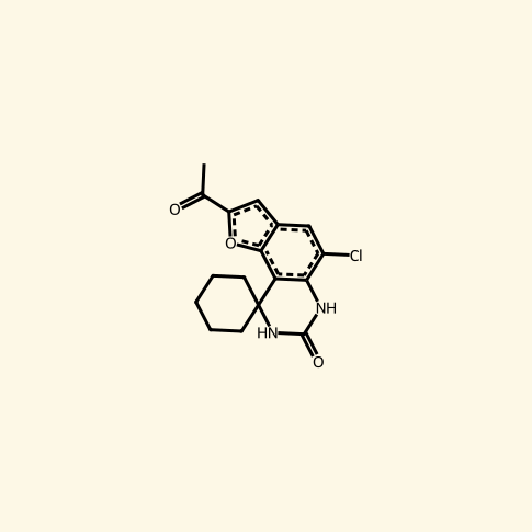 CC(=O)c1cc2cc(Cl)c3c(c2o1)C1(CCCCC1)NC(=O)N3